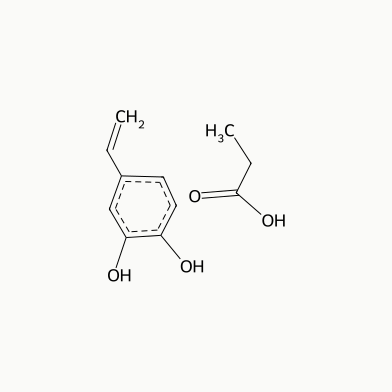 C=Cc1ccc(O)c(O)c1.CCC(=O)O